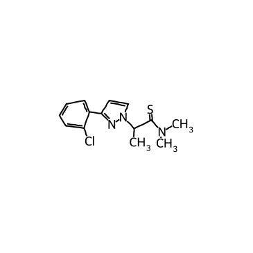 CC(C(=S)N(C)C)n1ccc(-c2ccccc2Cl)n1